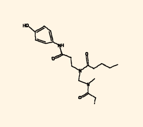 CCCCC(=O)N(CCC(=O)Nc1ccc(O)cc1)CN(C)C(=O)CC